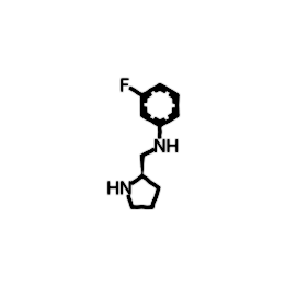 Fc1cccc(NC[C@H]2CCCN2)c1